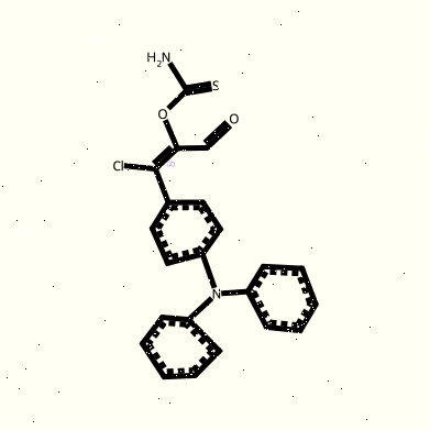 NC(=S)O/C(C=O)=C(\Cl)c1ccc(N(c2ccccc2)c2ccccc2)cc1